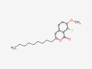 CCCCCCCCCc1cc2ccc(OC)c(F)c2c(=O)o1